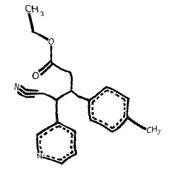 CCOC(=O)CC(c1ccc(C)cc1)C(C#N)c1cccnc1